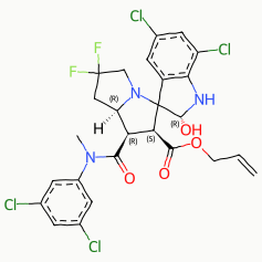 C=CCOC(=O)[C@H]1[C@@H](C(=O)N(C)c2cc(Cl)cc(Cl)c2)[C@H]2CC(F)(F)CN2C12c1cc(Cl)cc(Cl)c1N[C@@H]2O